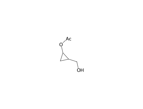 CC(=O)OC1CC1CO